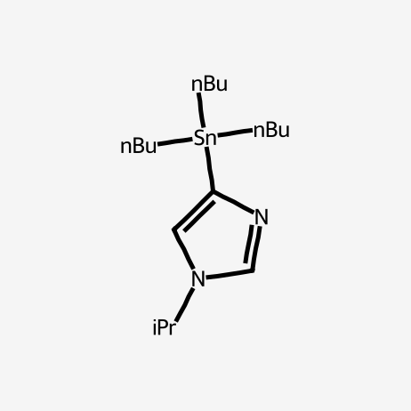 CCC[CH2][Sn]([CH2]CCC)([CH2]CCC)[c]1cn(C(C)C)cn1